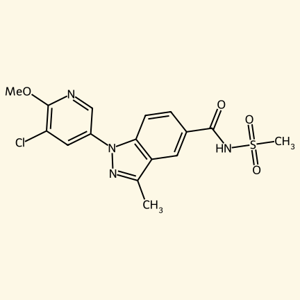 COc1ncc(-n2nc(C)c3cc(C(=O)NS(C)(=O)=O)ccc32)cc1Cl